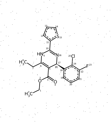 CCOC(=O)C1=C(CC)NC(c2cccs2)=N[C@H]1c1cccc(F)c1Cl